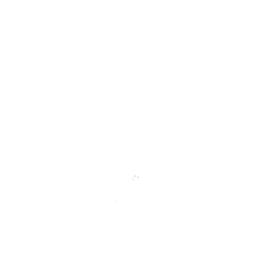 CCCN(CCC)CCC(Oc1ccccc1C)c1ccccc1